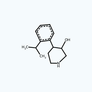 CC(C)c1ccccc1C1CCNCC1O